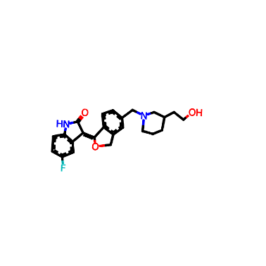 O=C1Nc2ccc(F)cc2C1=C1OCc2cc(CN3CCCC(CCO)C3)ccc21